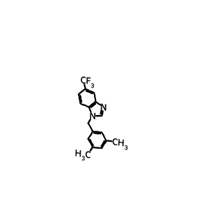 Cc1cc(C)cc(Cn2cnc3cc(C(F)(F)F)ccc32)c1